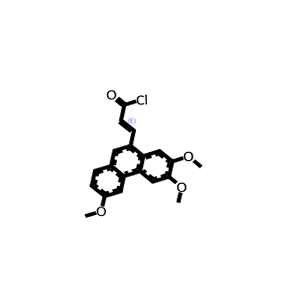 COc1ccc2cc(/C=C/C(=O)Cl)c3cc(OC)c(OC)cc3c2c1